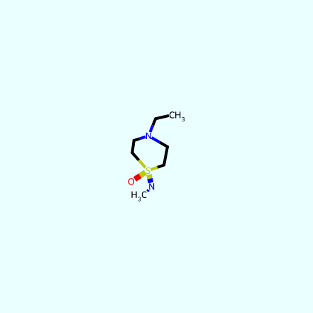 CCN1CCS(=O)(=NC)CC1